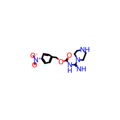 N=C(NC(=O)OCc1ccc([N+](=O)[O-])cc1)N1CCNCC1